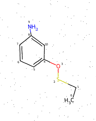 CCSOc1cccc(N)c1